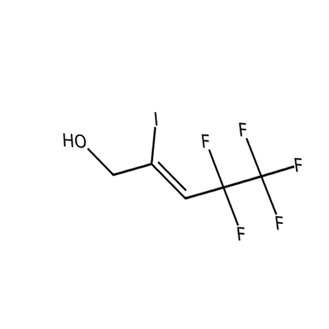 OCC(I)=CC(F)(F)C(F)(F)F